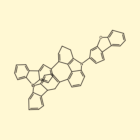 C1=C(c2cccc3c2c2c(n3-c3ccc4c(c3)oc3ccccc34)CCC=C2c2ccc3oc4ccccc4c3c2)CC2C(=C1)Oc1ccccc12